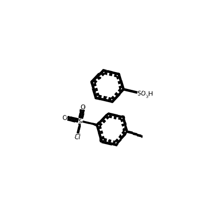 Cc1ccc(S(=O)(=O)Cl)cc1.O=S(=O)(O)c1ccccc1